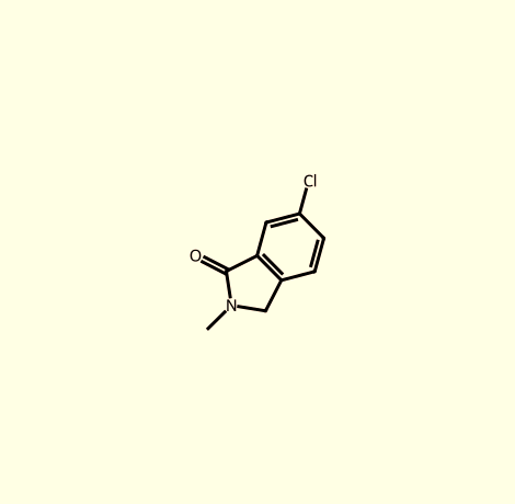 CN1Cc2ccc(Cl)cc2C1=O